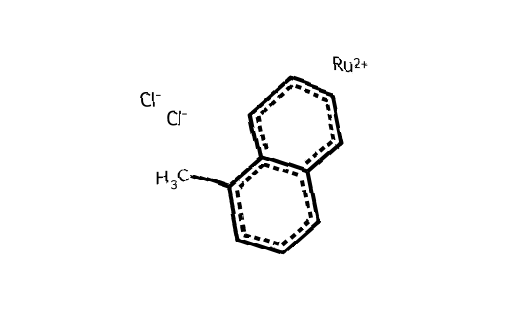 Cc1cccc2ccccc12.[Cl-].[Cl-].[Ru+2]